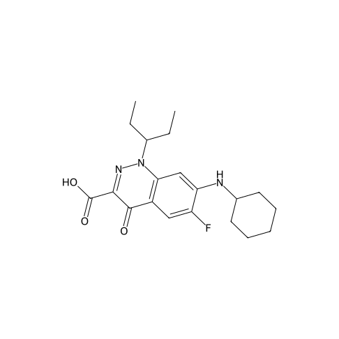 CCC(CC)n1nc(C(=O)O)c(=O)c2cc(F)c(NC3CCCCC3)cc21